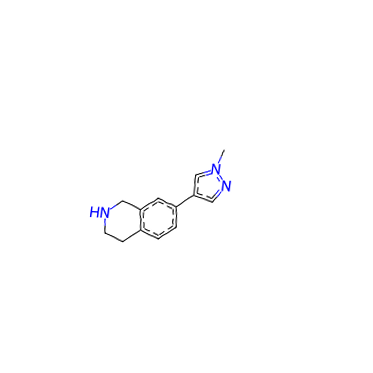 Cn1cc(-c2ccc3c(c2)CNCC3)cn1